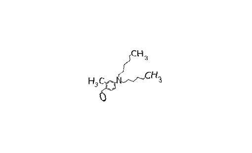 CCCCCCN(CCCCCC)c1ccc(C=O)c(C)c1